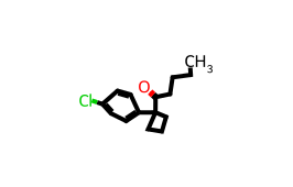 CCCCC(=O)C1(c2ccc(Cl)cc2)CCC1